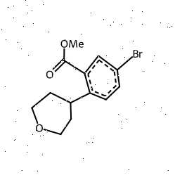 COC(=O)c1cc(Br)ccc1C1CCOCC1